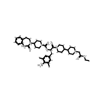 CCOC(=O)CN1CCC(C2CCN(C(=O)[C@@H](Cc3cc(C)c(N)c(C)c3)OC(=O)N3CCC(N4CCc5ccccc5NC4=O)CC3)CC2)CC1